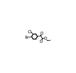 CCOC(=O)C(=O)c1ccc(Br)c(Cl)c1